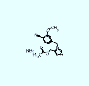 Br.COc1cc(Cn2cncc2COC(C)=O)ccc1C#N